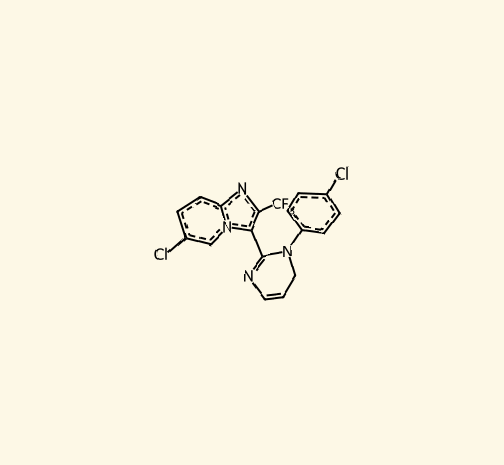 FC(F)(F)c1nc2ccc(Cl)cn2c1C1=NC=CCN1c1ccc(Cl)cc1